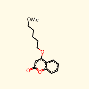 COCCCCCOc1cc(=O)oc2ccccc12